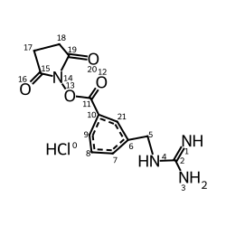 Cl.N=C(N)NCc1cccc(C(=O)ON2C(=O)CCC2=O)c1